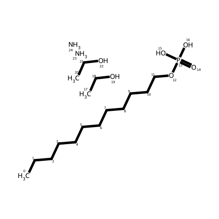 CCCCCCCCCCCCOP(=O)(O)O.CCO.CCO.N.N